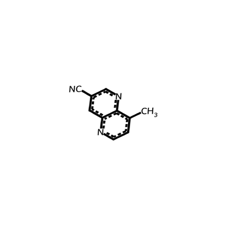 Cc1ccnc2cc(C#N)cnc12